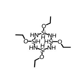 CCO[SiH]1N[SiH](OCC)N[SiH](OCC)N[SiH](OCC)N1